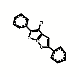 ClC1=C(c2ccccc2)O[Te]2=C1C=C(c1ccccc1)O2